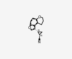 N#C[C@@H]1C[C@H]1c1coc2ccc3c(c12)CCCO3